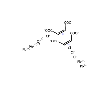 O=C([O-])/C=C\C(=O)[O-].O=C([O-])/C=C\C(=O)[O-].[Cl-].[Cl-].[Cl-].[Cl-].[Cl-].[Cl-].[Pb+2].[Pb+2].[Pb+2].[Pb+2].[Pb+2]